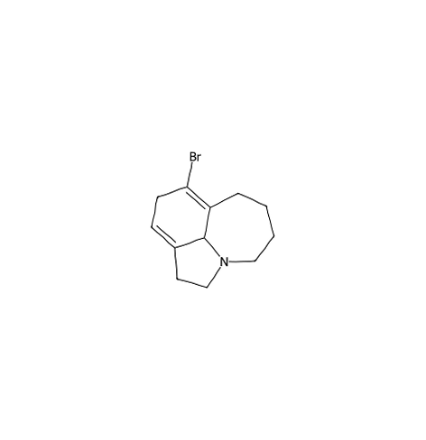 BrC1=C2CCCCN3CCC(=CC1)C23